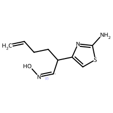 C=CCCC(/[C]=N\O)c1csc(N)n1